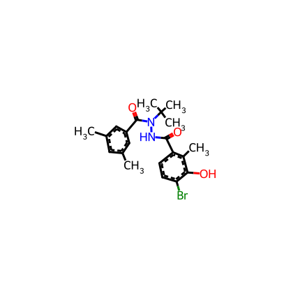 Cc1cc(C)cc(C(=O)N(NC(=O)c2ccc(Br)c(O)c2C)C(C)(C)C)c1